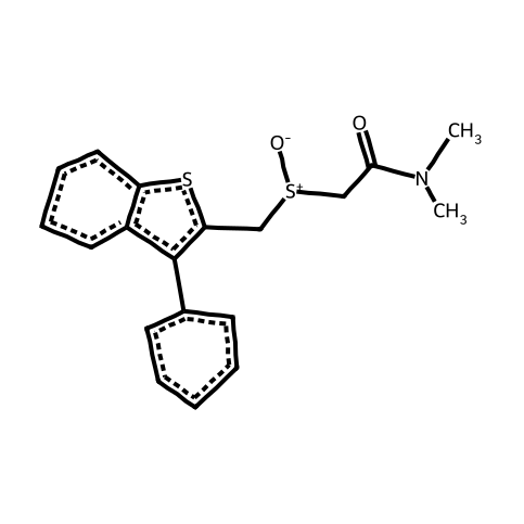 CN(C)C(=O)C[S+]([O-])Cc1sc2ccccc2c1-c1ccccc1